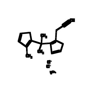 C#CCC1=C(C(C)(C)C2=C(C)C=CC2)C=CC1.[Cl-].[Cl-].[V+2]